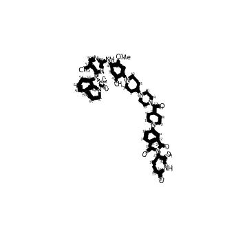 COc1cc(N2CCC(N3CCN(C(=O)C4CCN(c5ccc6c(c5)C(=O)N(C5CCC(=O)NC5=O)C6=O)CC4)CC3)CC2)c(C)cc1Nc1ncc(Cl)c(N2c3cccc4c3N(CC4)S2(=O)=O)n1